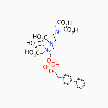 O=C(O)CN(CCN(CC(=O)O)CC(COP(=O)(O)OCCc1ccc(-c2ccccc2)cc1)N(CC(=O)O)CC(=O)O)CC(=O)O